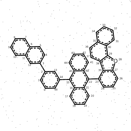 c1cc(-c2ccc3ccccc3c2)cc(-c2c3ccccc3c(-c3cccc4oc5c6ccccc6ccc5c34)c3ccccc23)c1